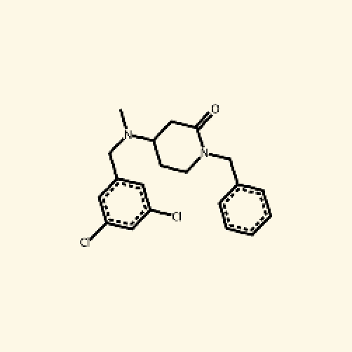 CN(Cc1cc(Cl)cc(Cl)c1)C1CCN(Cc2ccccc2)C(=O)C1